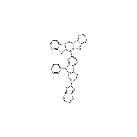 c1ccc(-n2c3cc(-c4cn5ccccc5n4)ccc3c3ccc(-c4c5oc6ccccc6c5cc5c4oc4ccccc45)cc32)cc1